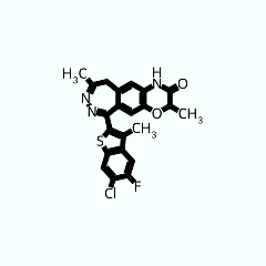 CC1=NN=C(c2sc3cc(Cl)c(F)cc3c2C)c2cc3c(cc2C1)NC(=O)C(C)O3